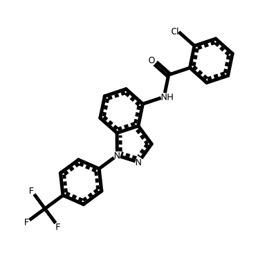 O=C(Nc1cccc2c1cnn2-c1ccc(C(F)(F)F)cc1)c1ccccc1Cl